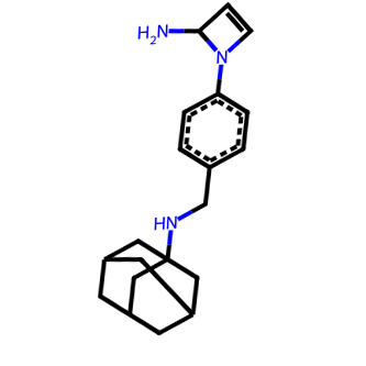 NC1C=CN1c1ccc(CNC23CC4CC(CC(C4)C2)C3)cc1